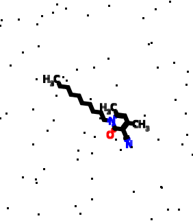 CCCCCCCCCCn1c(C)cc(C)c(C#N)c1=O